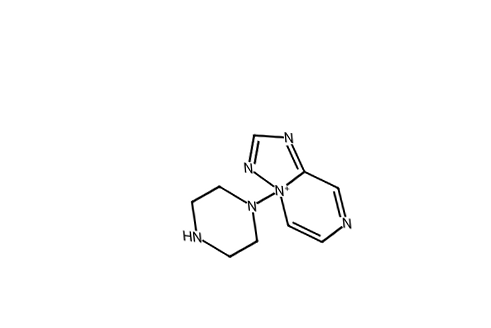 C1=C[N+]2(N3CCNCC3)N=CN=C2C=N1